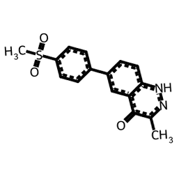 Cc1n[nH]c2ccc(-c3ccc(S(C)(=O)=O)cc3)cc2c1=O